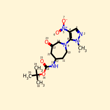 Cn1ncc([N+](=O)[O-])c1N1CCC(NC(=O)OC(C)(C)C)CC(=O)C1